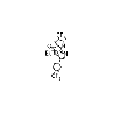 CCS(=O)(=O)c1cc(C(F)(F)F)cnc1-n1ncc(-c2ccc(C(F)(F)F)cc2)c1C